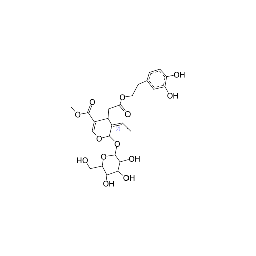 C/C=C1\C(OC2OC(CO)C(O)C(O)C2O)OC=C(C(=O)OC)C1CC(=O)OCCc1ccc(O)c(O)c1